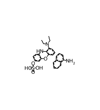 CCN(CC)c1cccc2c1Nc1ccccc1O2.Nc1cccc2ccccc12.O=S(=O)(O)O